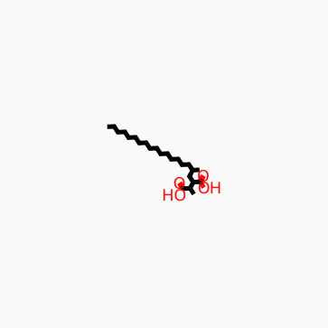 CCCCCCCCCCCCCCCCC(C)CC(C(=O)O)C(C)C(=O)O